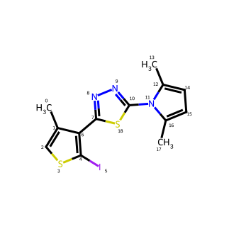 Cc1csc(I)c1-c1nnc(-n2c(C)ccc2C)s1